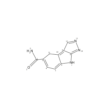 NC(=O)C1=CC=c2[nH]c3c(c2C1)C=NN=3